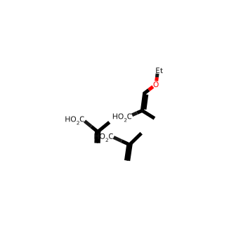 C=C(C)C(=O)O.C=C(C)C(=O)O.CCOC=C(C)C(=O)O